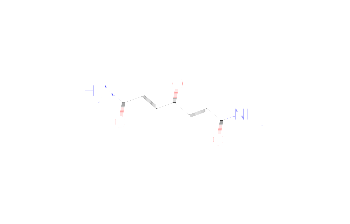 NC(=O)C=CC(=O)C=CC(N)=O